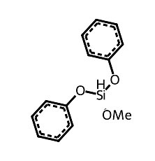 CO[SiH](Oc1ccccc1)Oc1ccccc1